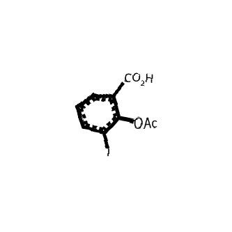 CC(=O)Oc1c(I)cccc1C(=O)O